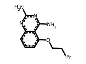 CC(C)CCOc1cccc2nc(N)nc(N)c12